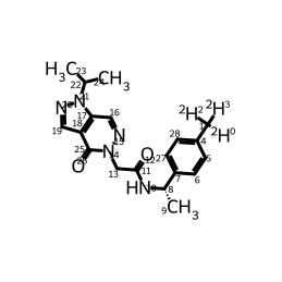 [2H]C([2H])([2H])c1ccc([C@H](C)NC(=O)Cn2ncc3c(cnn3C(C)C)c2=O)cc1